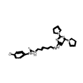 S=C(NCCCCCNc1cc(N2CCCC2)nc(N2CCCC2)n1)Nc1ccc(Cl)cc1